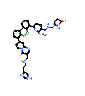 COc1nc(-c2cccc(-c3cccc(-c4ccn5c(=O)c(CNCCc6c[nH]cn6)cnc5c4)c3Cl)c2Cl)ccc1CNC[C@@H]1CCC(=O)N1